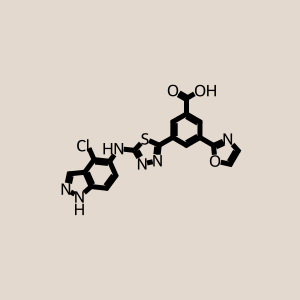 O=C(O)c1cc(-c2ncco2)cc(-c2nnc(Nc3ccc4[nH]ncc4c3Cl)s2)c1